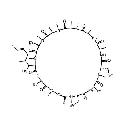 C/C=C/CC(C)C(O)C1C(=O)CC(CC)C(=O)N(C)CC(=O)N(C)C(CC(C)C)C(=O)NC(C(C)C)C(=O)N(C)C(CC(C)C)C(=O)NC(C)C(=O)NC(C)C(=O)N(C)C(C)C(=O)N(C)C(C)C(=O)N(C)C(C(C)C)C(=O)N1C